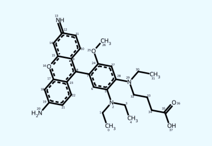 CCN(CC)c1cc(-c2c3ccc(=N)cc-3oc3cc(N)ccc23)c(OC)cc1N(CC)CCCC(=O)O